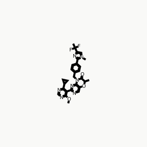 COc1ncnc(C2CC2)c1-c1ncc2c(n1)N(Cc1ccc(-c3nc(C(C)(F)F)cn3C)cc1)C(=O)C(C)O2